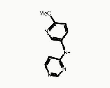 COc1ccc(Nc2ccncn2)cn1